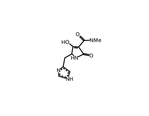 CNC(=O)C1=C(O)C(Cc2c[nH]cn2)NC1=O